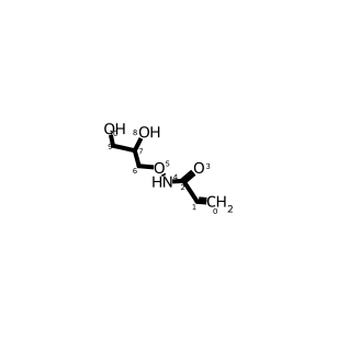 C=CC(=O)NOCC(O)CO